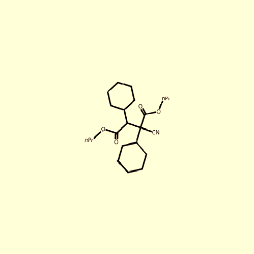 CCCOC(=O)C(C1CCCCC1)C(C#N)(C(=O)OCCC)C1CCCCC1